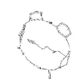 N#CCCOCC1CN2CCN1Cc1cccc(c1)Nc1cc(ccn1)-c1cnc(nc1)NCCCNC(=O)C2